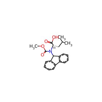 COC(=O)N(C1c2ccccc2-c2ccccc21)[C@@H](CC(C)C)C(=O)O